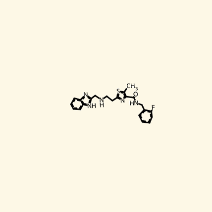 Cc1sc(CCNCc2nc3ccccc3[nH]2)nc1C(=O)NCc1ccccc1F